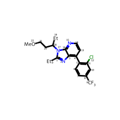 CCc1nc2c(-c3ccc(C(F)(F)F)cc3Cl)ccnc2n1C(CC)CCOC